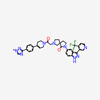 Cn1cnc(-c2ccc(C3=CCN(C(=O)CN4CCC5(CCN(c6ccc7[nH]nc(-c8cnccc8C(F)(F)F)c7c6)C5=O)C4)CC3)cc2)n1